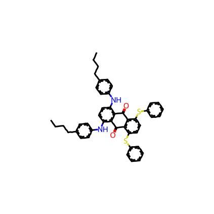 CCCCc1ccc(Nc2ccc(Nc3ccc(CCCC)cc3)c3c2C(=O)c2c(Sc4ccccc4)ccc(Sc4ccccc4)c2C3=O)cc1